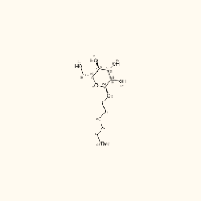 CCCCCCCCCCCCOCCO[C@H]1O[C@H](CO)[C@@H](O)[C@H](O)[C@H]1O